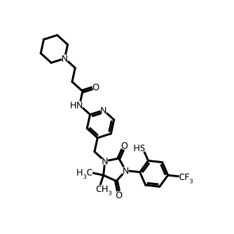 CC1(C)C(=O)N(c2ccc(C(F)(F)F)cc2S)C(=O)N1Cc1ccnc(NC(=O)CCN2CCCCC2)c1